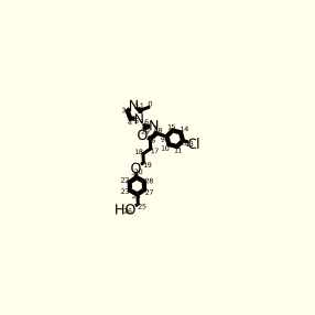 Cc1nccn1-c1nc(-c2ccc(Cl)cc2)c(CCCOc2ccc(CO)cc2)o1